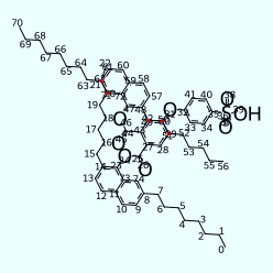 CCCCCCCCc1ccc2ccc(CCCCCCCC)c(OC(=O)c3ccc(Oc4ccc(S(=O)(=O)O)cc4)cc3C(=O)Oc3c(CCCCCCCC)ccc4ccc(CCCCCCCC)cc34)c2c1